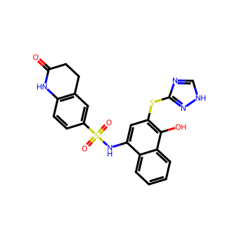 O=C1CCc2cc(S(=O)(=O)Nc3cc(Sc4nc[nH]n4)c(O)c4ccccc34)ccc2N1